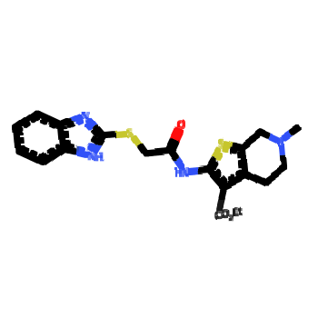 CCOC(=O)c1c(NC(=O)CSc2nc3ccccc3[nH]2)sc2c1CCN(C)C2